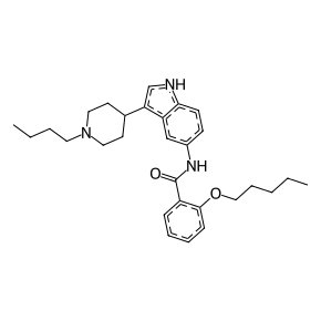 CCCCCOc1ccccc1C(=O)Nc1ccc2[nH]cc(C3CCN(CCCC)CC3)c2c1